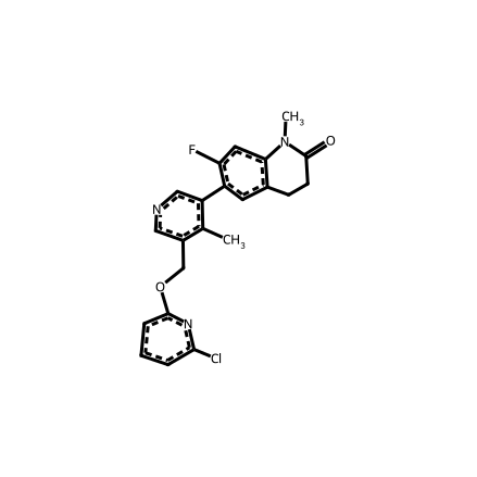 Cc1c(COc2cccc(Cl)n2)cncc1-c1cc2c(cc1F)N(C)C(=O)CC2